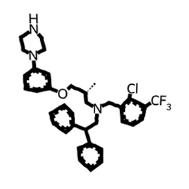 C[C@@H](COc1cccc(N2CCNCC2)c1)CN(Cc1cccc(C(F)(F)F)c1Cl)CC(c1ccccc1)c1ccccc1